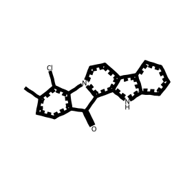 Cc1ccc2c(c1Cl)-[n+]1ccc3c([nH]c4ccccc43)c1C2=O